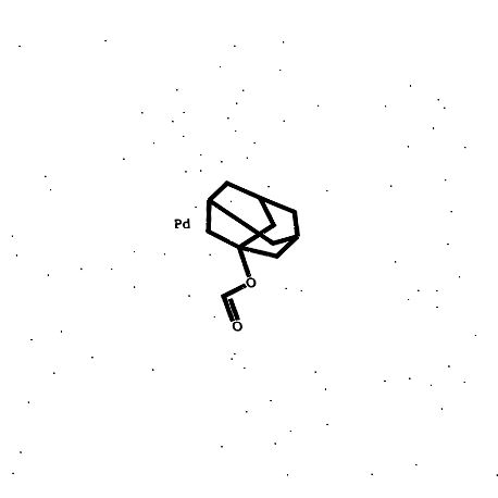 O=COC12CC3CC(CC(C3)C1)C2.[Pd]